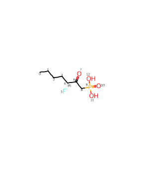 CCCC[C@@H](F)C(=O)CP(=O)(O)O